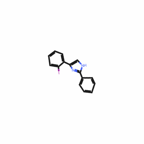 Ic1ccccc1-c1c[nH]c(-c2ccccc2)n1